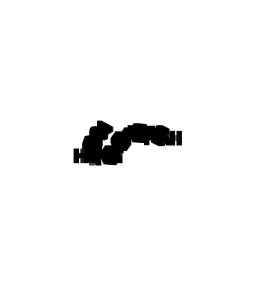 CC1(Oc2ccc3[nH]nc(-c4ccnc(N5CCC(CN6CCC(F)(CN7CCNCC7)CC6)CC5)c4)c3c2)CC1